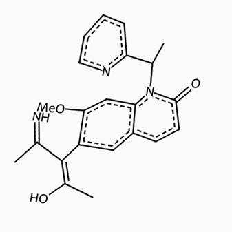 COc1cc2c(ccc(=O)n2C(C)c2ccccn2)cc1/C(C(C)=N)=C(\C)O